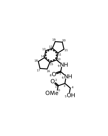 COC(=O)C(CO)NC(=O)Nc1c2c(cc3c1CCC3)CCC2